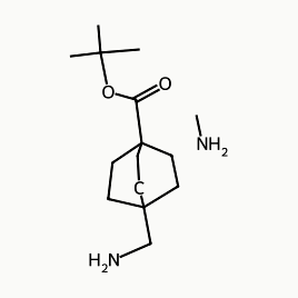 CC(C)(C)OC(=O)C12CCC(CN)(CC1)CC2.CN